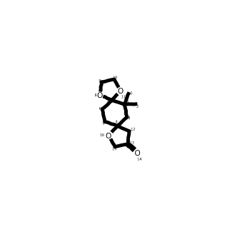 CC1(C)CC2(CCC13OCCO3)CC(=O)CO2